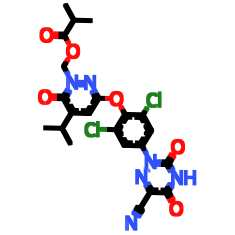 CC(C)C(=O)OCn1nc(Oc2c(Cl)cc(-n3nc(C#N)c(=O)[nH]c3=O)cc2Cl)cc(C(C)C)c1=O